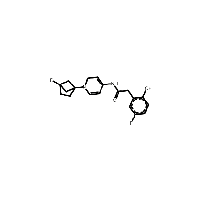 O=C(Cc1cc(F)ccc1O)NC1=CCN(C23CCC(F)(C2)C3)C=C1